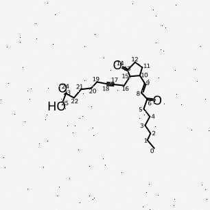 CCCCCCC(=O)C=CC1CCC(=O)C1CC#CCCCCC(=O)O